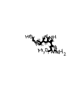 CCc1cc(-c2c[nH]c3ncc(-c4cnn(CCO)c4)cc23)nc(N)n1